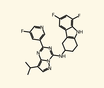 CC(C)c1cnn2c(NC3CCc4[nH]c5c(F)cc(F)cc5c4C3)nc(-c3cncc(F)c3)nc12